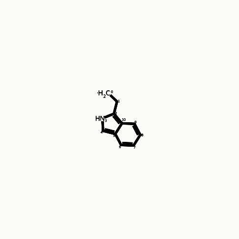 [CH2]Cc1[nH]cc2ccccc12